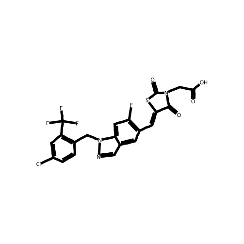 O=C(O)CN1C(=O)S/C(=C\c2cc3cnn(Cc4ccc(Cl)cc4C(F)(F)F)c3cc2F)C1=O